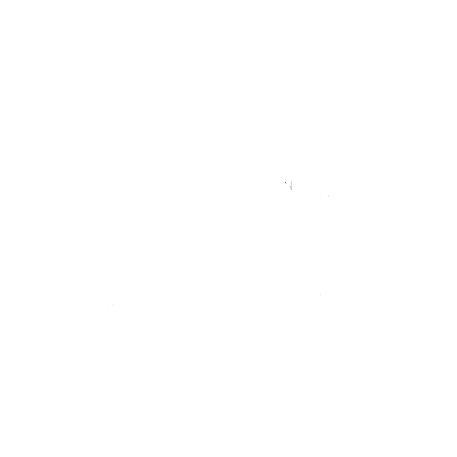 Cc1c(CCBr)ccc([N+](=O)[O-])c1C(=O)O